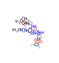 CN1CCN(c2ccc(C(=O)Nc3n[nH]c4c3CN(S(=O)(=O)c3cc(F)cc(F)c3)CC4)c(NC3CCCN(C(=O)OC(C)(C)C)C3)c2)CC1